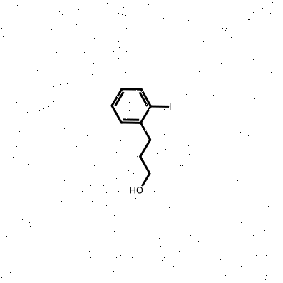 OC[CH]Cc1ccccc1I